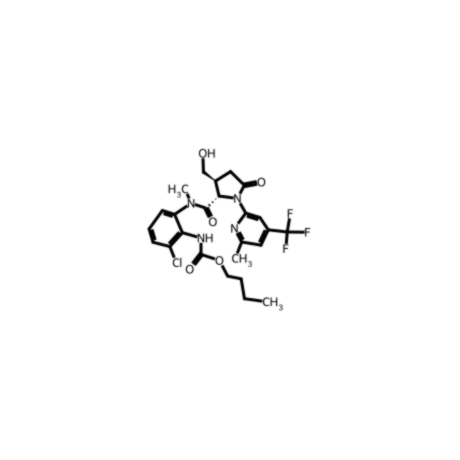 CCCCOC(=O)Nc1c(Cl)cccc1N(C)C(=O)[C@@H]1[C@@H](CO)CC(=O)N1c1cc(C(F)(F)F)cc(C)n1